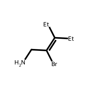 CCC(CC)=C(Br)CN